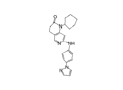 O=C1CCc2cnc(Nc3ccc(-n4cccn4)cc3)cc2N1C1CCCCC1